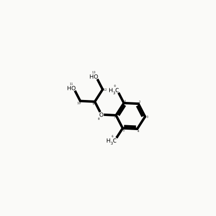 Cc1cccc(C)c1OC(CO)CO